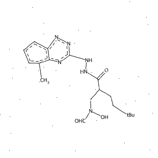 Cc1cccc2nnc(NNC(=O)C(CCC(C)(C)C)CN(O)C=O)nc12